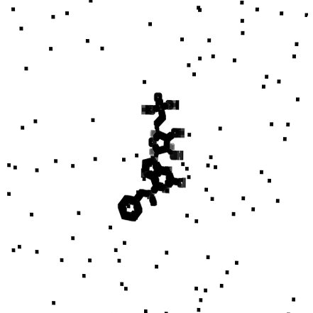 CN(Cc1ccccc1)c1nc(Cl)nc2c1ncn2[C@@H]1O[C@H](CCP(=O)(O)O)C(O)[C@@H]1O